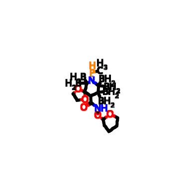 BC1(B)C(C(=O)NOC2CCCCO2)C2(OCCO2)C(B)(B)N(PC)C1(B)B